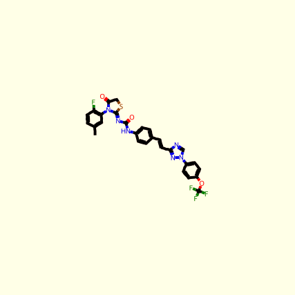 Cc1ccc(F)c(N2C(=O)CS/C2=N\C(=O)Nc2ccc(/C=C/c3ncn(-c4ccc(OC(F)(F)F)cc4)n3)cc2)c1